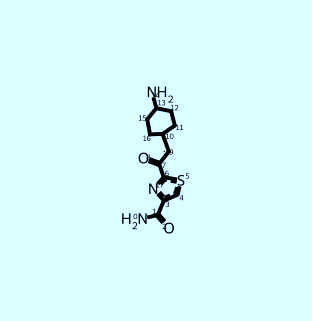 NC(=O)c1csc(C(=O)[CH]C2CCC(N)CC2)n1